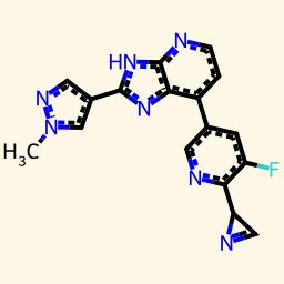 Cn1cc(-c2nc3c(-c4cnc(C5C=N5)c(F)c4)ccnc3[nH]2)cn1